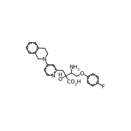 NC(COc1ccc(F)cc1)C(O)(Cc1cc(N2CCc3ccccc3C2)ccn1)C(=O)O